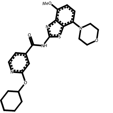 COc1ccc(N2CCOCC2)c2sc(NC(=O)c3ccnc(OC4CCCCC4)c3)nc12